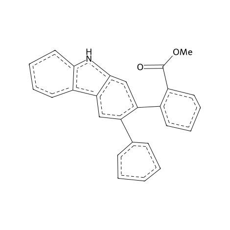 COC(=O)c1ccccc1-c1cc2[nH]c3ccccc3c2cc1-c1ccccc1